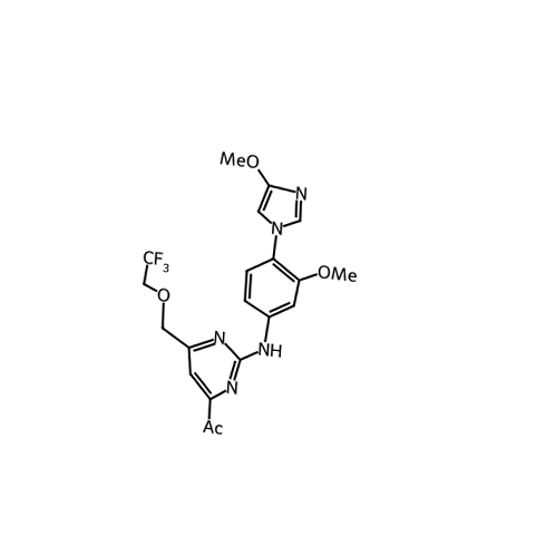 COc1cn(-c2ccc(Nc3nc(COCC(F)(F)F)cc(C(C)=O)n3)cc2OC)cn1